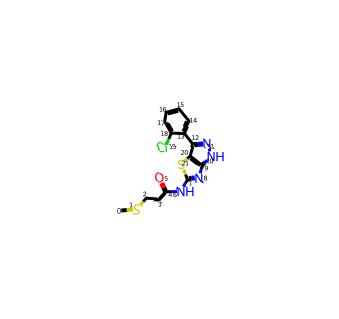 CSCCC(=O)Nc1nc2[nH]nc(-c3ccccc3Cl)c2s1